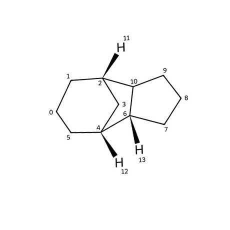 C1C[C@H]2C[C@@H](C1)[C@H]1CCCC21